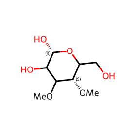 COC1C(O)[C@H](O)OC(CO)[C@@H]1OC